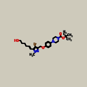 Cn1nc(COc2ccc(N3CCN(C(=O)OC(C)(C)C)CC3)cc2)c(Br)c1C=CCCCCO